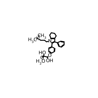 CN(C)CCCn1c2c(c(-c3ccccc3)c1-c1ccccc1)CCCC2.O.O=C(O)C(=O)O